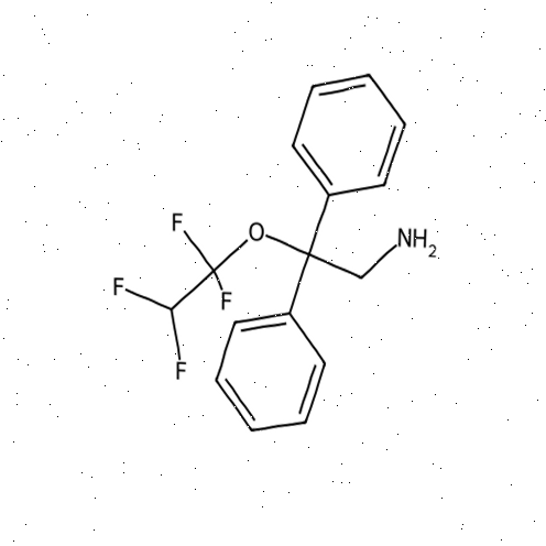 NCC(OC(F)(F)C(F)F)(c1ccccc1)c1ccccc1